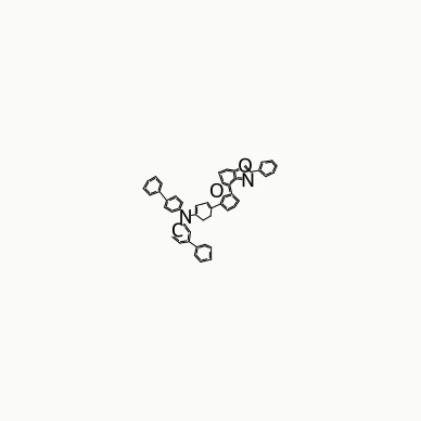 C1=C(c2cccc3c2oc2ccc4oc(-c5ccccc5)nc4c23)CCC(N(c2ccc(-c3ccccc3)cc2)c2cccc(-c3ccccc3)c2)=C1